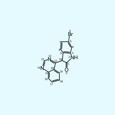 O=C1Nc2cc(Br)ccc2C1c1ncnc2ccccc12